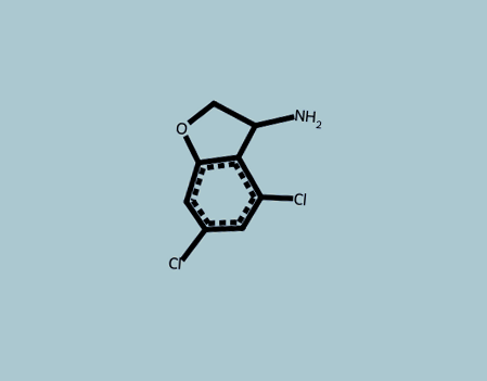 NC1COc2cc(Cl)cc(Cl)c21